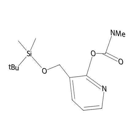 CNC(=O)Oc1ncccc1CO[Si](C)(C)C(C)(C)C